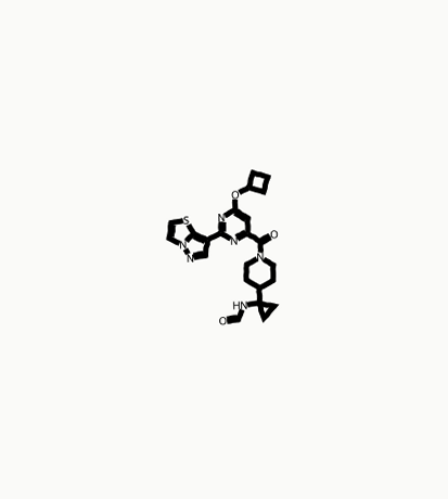 O=CNC1(C2CCN(C(=O)c3cc(OC4CCC4)nc(-c4cnn5ccsc45)n3)CC2)CC1